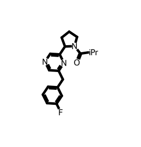 CC(C)C(=O)N1CCCC1c1cncc(Cc2cccc(F)c2)n1